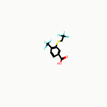 O=C(O)c1ccc(C(F)(F)F)c(SCC(F)(F)F)c1